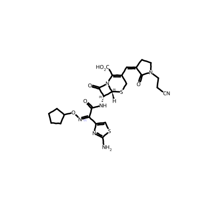 N#CCCN1CCC(=CC2=C(C(=O)O)N3C(=O)[C@@H](NC(=O)/C(=N\OC4CCCC4)c4csc(N)n4)[C@H]3SC2)C1=O